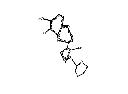 Cc1c(-c2cnc3ccc(O)c(Cl)c3n2)cnn1C1CCCCO1